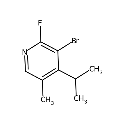 Cc1cnc(F)c(Br)c1C(C)C